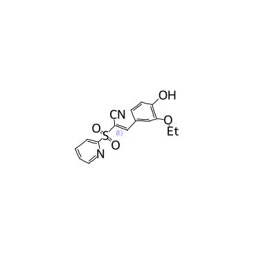 CCOc1cc(/C=C(\C#N)S(=O)(=O)c2ccccn2)ccc1O